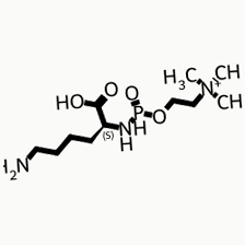 C[N+](C)(C)CCO[PH](=O)N[C@@H](CCCCN)C(=O)O